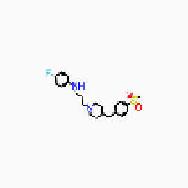 CS(=O)(=O)c1ccc(CC2CCN(CCCNc3ccc(F)cc3)CC2)cc1